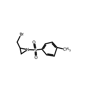 Cc1ccc(S(=O)(=O)N2CC2CBr)cc1